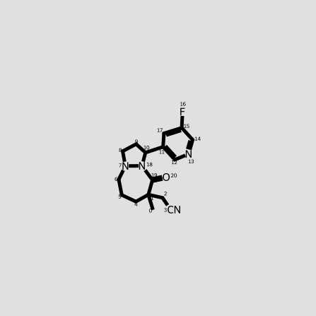 CC1(CC#N)CCCN2CCC(c3cncc(F)c3)N2C1=O